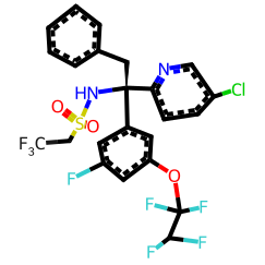 O=S(=O)(CC(F)(F)F)N[C@@](Cc1ccccc1)(c1cc(F)cc(OC(F)(F)C(F)F)c1)c1ccc(Cl)cn1